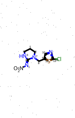 O=[N+]([O-])N=C1NCCCN1Cc1cnc(Cl)s1